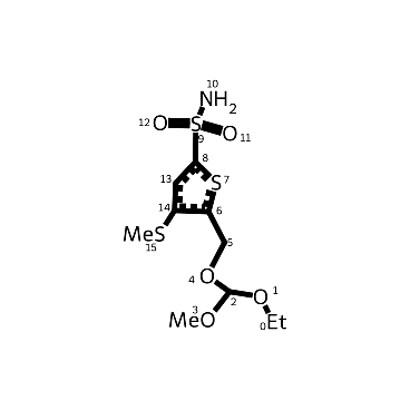 CCOC(OC)OCc1sc(S(N)(=O)=O)cc1SC